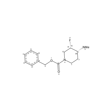 CN[C@@H]1CCN(C(=O)OCc2ccccc2)C[C@@H]1F